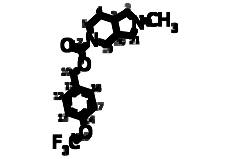 CN1CC2CCN(C(=O)OCc3ccc(OC(F)(F)F)cc3)CC2C1